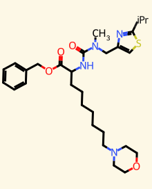 CC(C)c1nc(CN(C)C(=O)NC(CCCCCCCN2CCOCC2)C(=O)OCc2ccccc2)cs1